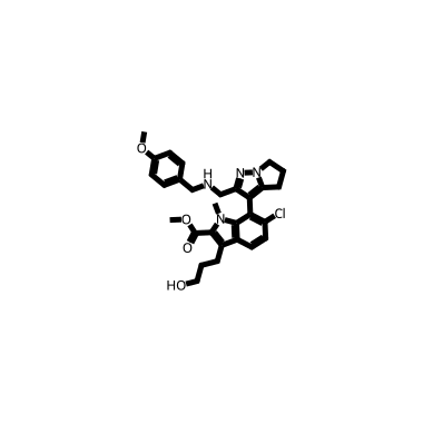 COC(=O)c1c(CCCO)c2ccc(Cl)c(-c3c(CNCc4ccc(OC)cc4)nn4c3CCC4)c2n1C